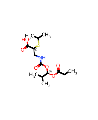 CCC(=O)O[C@H](OC(=O)NC[C@H](SC(C)C)C(=O)O)C(C)C